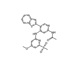 COc1cc(Nc2cc(NC(C)=O)ncc2-c2cc3ccccc3s2)nc(S(C)(=O)=O)c1